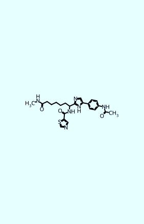 CNC(=O)CCCCCC(NC(=O)c1cncs1)c1ncc(-c2ccc(NC(C)=O)cc2)[nH]1